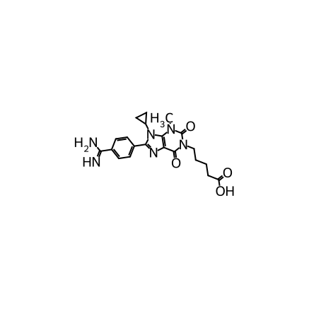 Cn1c(=O)n(CCCCC(=O)O)c(=O)c2nc(-c3ccc(C(=N)N)cc3)n(C3CC3)c21